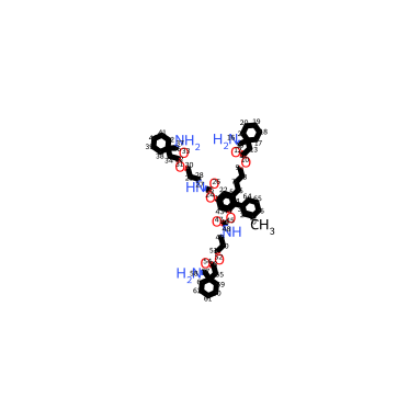 CC1=CC(c2c(CCCCOC(=O)CC3(CN)CCCCC3)cc(OC(=O)NCCCOC(=O)CC3(CN)CCCCC3)cc2OC(=O)NCCCOC(=O)CC2(CN)CCCCC2)CCC1